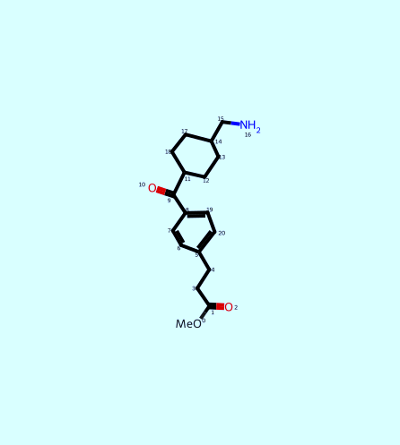 COC(=O)CCc1ccc(C(=O)C2CCC(CN)CC2)cc1